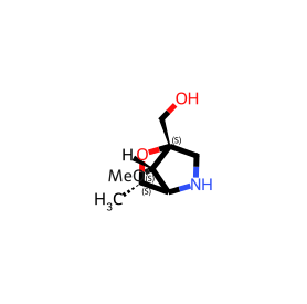 CO[C@H]1C2NC[C@@]1(CO)O[C@H]2C